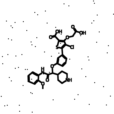 COc1ccccc1NC(=O)C(Oc1cccc(-c2sc(C(=O)O)c(OCC(=O)O)c2Cl)c1)C1CCNCC1